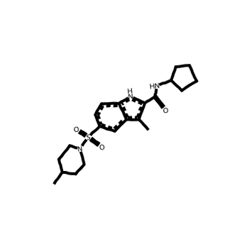 Cc1c(C(=O)NC2CCCC2)[nH]c2ccc(S(=O)(=O)N3CCC(C)CC3)cc12